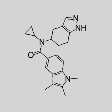 Cc1c(C)n(C)c2ccc(C(=O)N(C3CC3)C3CCc4[nH]ncc4C3)cc12